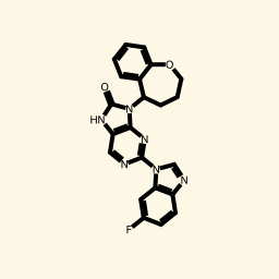 O=c1[nH]c2cnc(-n3cnc4ccc(F)cc43)nc2n1C1CCCOc2ccccc21